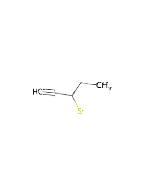 C#CC([S])CC